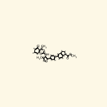 COC(=O)C1CCc2cc(-c3ccc(-c4onc(C)c4NC(=O)O[C@H](C)c4ccccc4Cl)cc3)ccc21